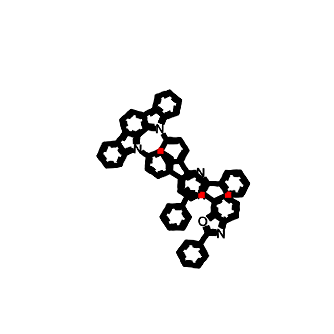 C1=C(c2nc(-c3ccccc3)nc(-c3ccccc3)n2)CCC(n2c3ccccc3c3ccc4c5ccccc5n(-c5ccc(-c6ccc(-c7cccc8nc(-c9ccccc9)oc78)cc6)cc5)c4c32)=C1